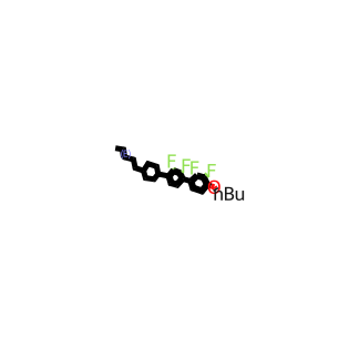 C/C=C/CCC1CCC(c2ccc(-c3ccc(OCCCC)c(F)c3F)c(F)c2F)CC1